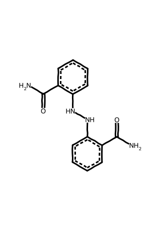 NC(=O)c1ccccc1NNc1ccccc1C(N)=O